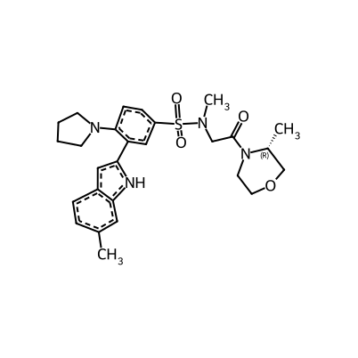 Cc1ccc2cc(-c3cc(S(=O)(=O)N(C)CC(=O)N4CCOC[C@H]4C)ccc3N3CCCC3)[nH]c2c1